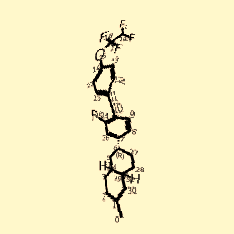 CC1CC[C@@H]2C[C@H](c3ccc(-c4ccc(OC(F)(F)C(F)F)cc4)c(F)c3)CC[C@@H]2C1